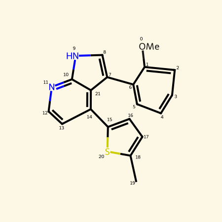 COc1ccccc1-c1c[nH]c2nccc(-c3ccc(C)s3)c12